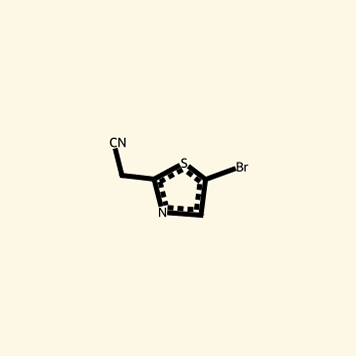 N#CCc1ncc(Br)s1